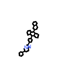 c1ccc(-c2ccc3nc(-c4ccc(-c5c6ccccc6c(-c6ccc7ccccc7c6)c6ccccc56)cc4)cn3c2)cc1